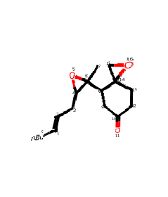 CCCC/C=C/CC1OC1(C)C1CC(=O)CCC12CO2